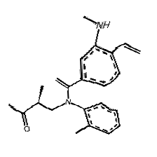 C=Cc1ccc(C(=C)N(C[C@H](C)C(C)=O)c2ccccc2C)cc1NC